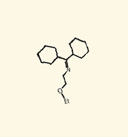 CCOCCN=C(C1CCCCC1)C1CCCCC1